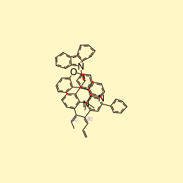 C=C/C=C(\C(=C/C)c1cccc2c1C(C)(C)c1ccccc1C21c2ccccc2Oc2ccccc21)c1cc(-c2ccccc2)nc(-c2ccc(-n3c4ccccc4c4ccccc43)cc2)n1